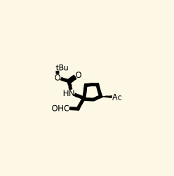 CC(=O)[C@@H]1CCC(CC=O)(NC(=O)OC(C)(C)C)C1